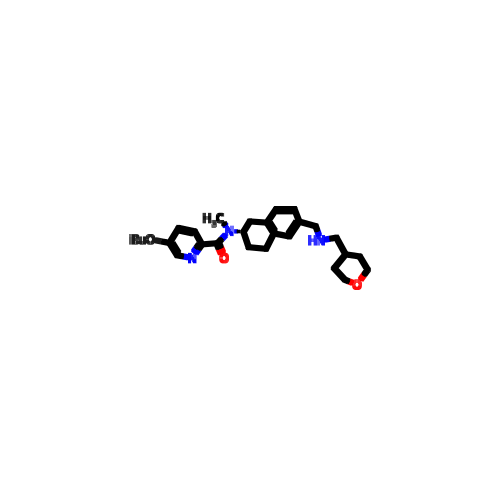 CC(C)COc1ccc(C(=O)N(C)[C@H]2CCc3cc(CNCC4CCOCC4)ccc3C2)nc1